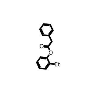 CCc1ccccc1OC(=O)Cc1ccccc1